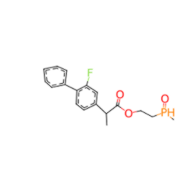 CC(C(=O)OCC[PH](C)=O)c1ccc(-c2ccccc2)c(F)c1